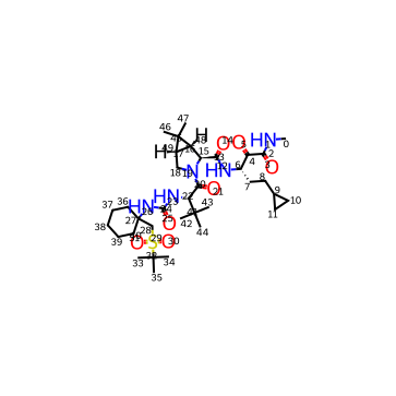 CNC(=O)C(=O)[C@H](CCC1CC1)NC(=O)[C@@H]1[C@@H]2[C@H](CN1C(=O)[C@@H](NC(=O)NC1(CS(=O)(=O)C(C)(C)C)CCCCC1)C(C)(C)C)C2(C)C